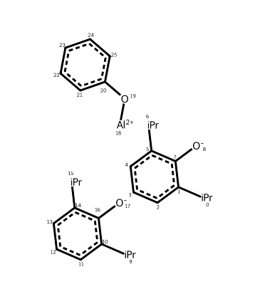 CC(C)c1cccc(C(C)C)c1[O-].CC(C)c1cccc(C(C)C)c1[O-].[Al+2][O]c1ccccc1